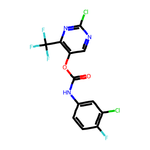 O=C(Nc1ccc(F)c(Cl)c1)Oc1cnc(Cl)nc1C(F)(F)F